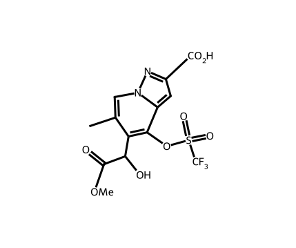 COC(=O)C(O)c1c(C)cn2nc(C(=O)O)cc2c1OS(=O)(=O)C(F)(F)F